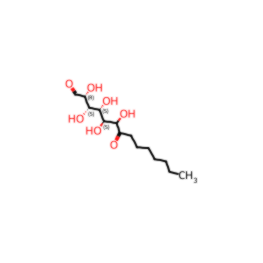 CCCCCCCC(=O)C(O)[C@@H](O)[C@@H](O)[C@H](O)[C@@H](O)C=O